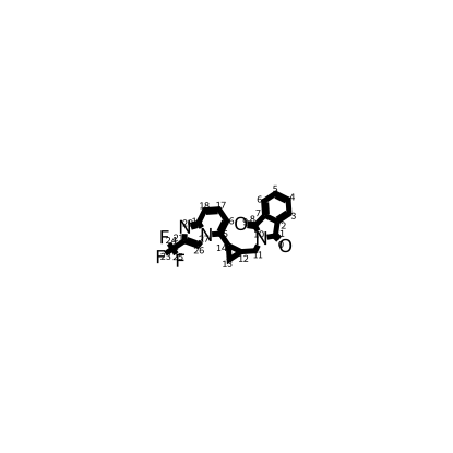 O=C1c2ccccc2C(=O)N1CC1CC1c1cccc2nc(C(F)(F)F)cn12